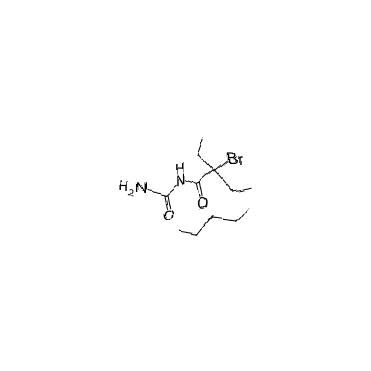 CCC(Br)(CC)C(=O)NC(N)=O.CCCCC